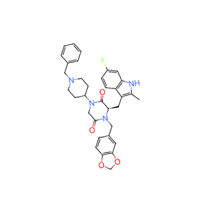 Cc1[nH]c2cc(F)ccc2c1C[C@@H]1C(=O)N(C2CCN(Cc3ccccc3)CC2)CC(=O)N1Cc1ccc2c(c1)OCO2